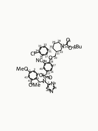 COc1ccc(CN(c2ncns2)S(=O)(=O)c2ccc(OC[C@@H]3CN(C(=O)OC(C)(C)C)CC[C@H]3c3ccc(Cl)cc3)c(C#N)c2)c(OC)c1